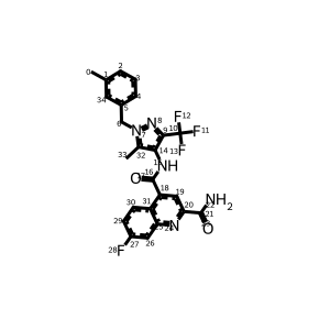 Cc1cccc(Cn2nc(C(F)(F)F)c(NC(=O)c3cc(C(N)=O)nc4cc(F)ccc34)c2C)c1